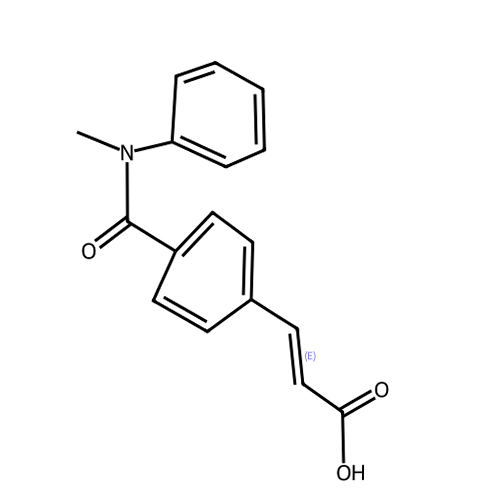 CN(C(=O)c1ccc(/C=C/C(=O)O)cc1)c1ccccc1